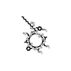 CCCCCCC[C@@H](O)CC(=O)N[C@H](Cc1ccc(N)cc1)C(=O)N[C@H]1CCNC(=O)[C@H](CC(C)C)NC(=O)[C@H](CCN)NC(=O)[C@H](CCN)NC(=O)[C@H](Cc2ccccc2)NC(=O)[C@@H](CC(C)C)NC(=O)[C@H](CCN)NC1=O